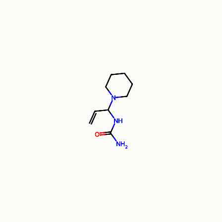 C=CC(NC(N)=O)N1CCCCC1